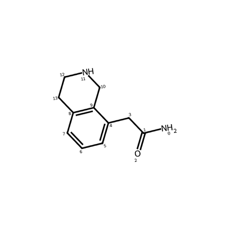 NC(=O)Cc1cccc2c1CNCC2